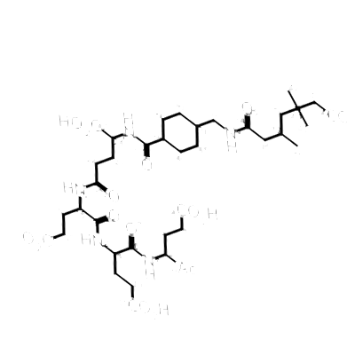 CC(=O)C(CCC(=O)O)NC(=O)C(CCC(=O)O)NC(=O)C(CCC(=O)O)NC(=O)CCC(NC(=O)C1CCC(CNC(=O)CC(C)CC(C)(C)CC(=O)O)CC1)C(=O)O